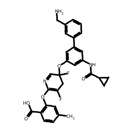 Cc1ccc(C(=O)O)c(OC2=C(F)CC(F)(Oc3cc(NC(=O)C4CC4)cc(-c4cccc(CN)c4)c3)C=N2)c1